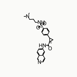 CN(C)CCCNS(=O)(=O)c1ccc(C2C[C@H]2C(=O)Nc2ccc3cnccc3c2)cc1